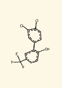 Oc1ccc(C(F)(F)F)cc1-c1ccc(Cl)c(Cl)c1